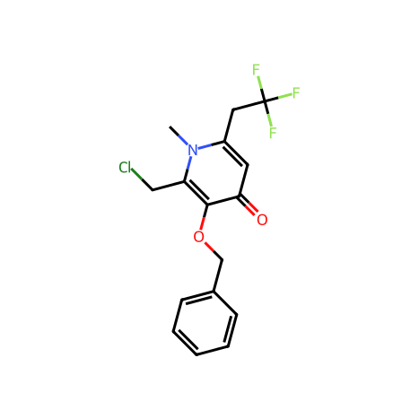 Cn1c(CC(F)(F)F)cc(=O)c(OCc2ccccc2)c1CCl